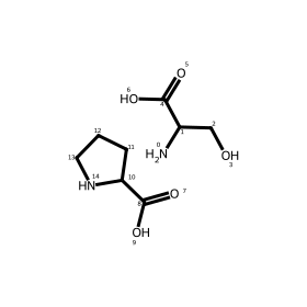 NC(CO)C(=O)O.O=C(O)C1CCCN1